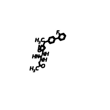 CC(=O)CNC(=N)Nc1cc(C(C)c2ccc(-c3ccccc3F)cc2)no1